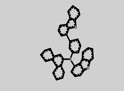 c1cc(-c2cccc3c2oc2ccccc23)cc(N(c2cc3ccccc3c3ccccc23)c2cccc3oc4ccccc4c23)c1